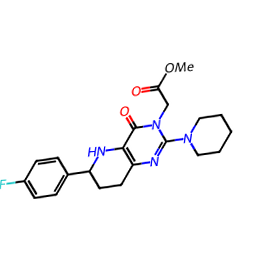 COC(=O)Cn1c(N2CCCCC2)nc2c(c1=O)NC(c1ccc(F)cc1)CC2